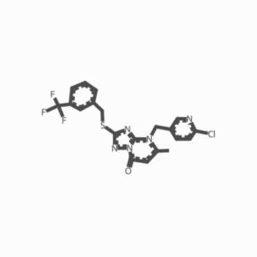 Cc1cc(=O)n2nc(SCc3cccc(C(F)(F)F)c3)nc2n1Cc1ccc(Cl)nc1